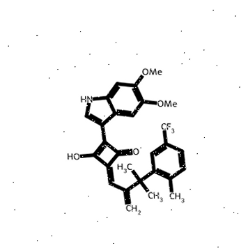 C=C(/C=C1\C(=O)C(c2c[nH]c3cc(OC)c(OC)cc23)=C1O)C(C)(C)c1cc(C(F)(F)F)ccc1C